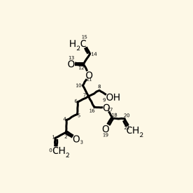 C=CC(=O)CCCC(CO)(COC(=O)C=C)COC(=O)C=C